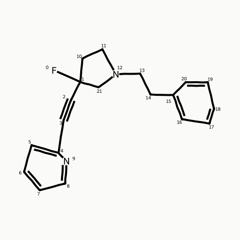 FC1(C#Cc2ccccn2)CCN(CCc2ccccc2)C1